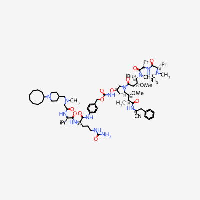 CC[C@H](C)[C@@H]([C@@H](CC(=O)N1C[C@H](ONC(=O)OCc2ccc(NC(=O)[C@@H](CCCNC(N)=O)NC(=O)[C@H](NC(=O)CN(C)CC3CCN(C4CCCCCCCC4)CC3)C(C)C)cc2)C[C@H]1[C@H](OC)[C@@H](C)C(=O)N[C@H](C#N)Cc1ccccc1)OC)N(C)C(=O)[C@@H](NC(=O)[C@H](C(C)C)N(C)C)C(C)C